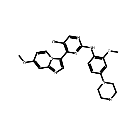 COc1ccn2c(-c3nc(Nc4ccc(N5CC[N]CC5)cc4OC)ncc3Cl)cnc2c1